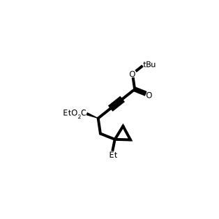 CCOC(=O)[C@@H](C#CC(=O)OC(C)(C)C)CC1(CC)CC1